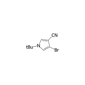 CC(C)(C)n1cc(Br)c(C#N)c1